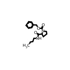 CCCCNC(=O)C1CCCN1C(=O)OCc1ccccc1